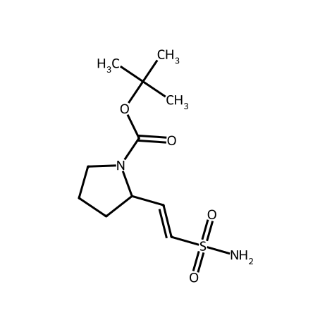 CC(C)(C)OC(=O)N1CCCC1/C=C/S(N)(=O)=O